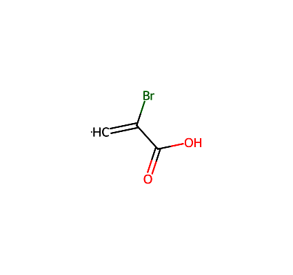 [CH]=C(Br)C(=O)O